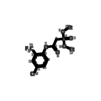 CCOP(=O)(CC(=O)Oc1ccc(Cl)cc1C(F)(F)F)OCC